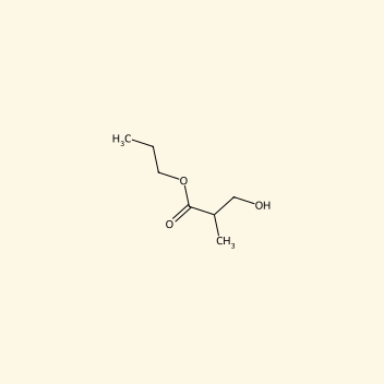 CCCOC(=O)C(C)CO